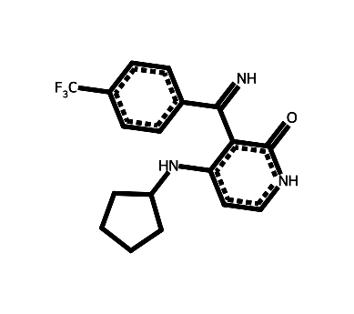 N=C(c1ccc(C(F)(F)F)cc1)c1c(NC2CCCC2)cc[nH]c1=O